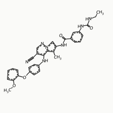 CCNC(=O)Nc1cccc(C(=O)Nc2cn3ncc(C#N)c(Nc4ccc(Oc5ccccc5OC)cc4)c3c2C)c1